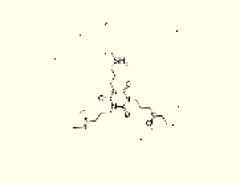 CC[SiH](CCCn1c(=O)n(CCC[SiH2]C)c(=O)n(CCC[SiH](CC)OC)c1=O)OC